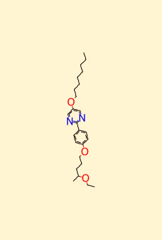 CCCCCCCCOc1cnc(-c2ccc(OCCCC(C)OCC)cc2)nc1